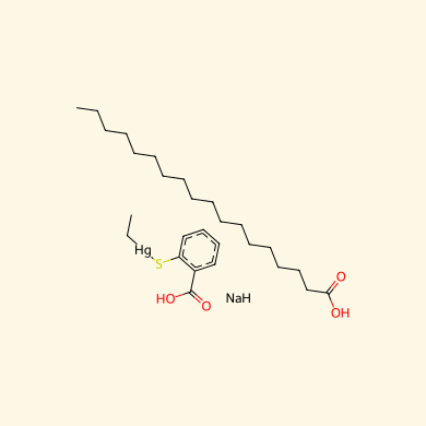 CCCCCCCCCCCCCCCCCC(=O)O.C[CH2][Hg][S]c1ccccc1C(=O)O.[NaH]